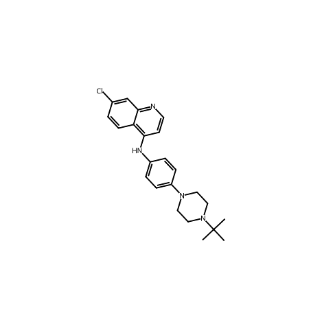 CC(C)(C)N1CCN(c2ccc(Nc3ccnc4cc(Cl)ccc34)cc2)CC1